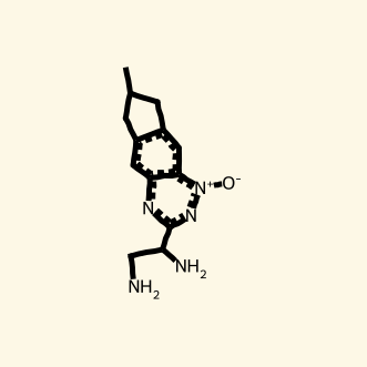 CC1Cc2cc3nc(C(N)CN)n[n+]([O-])c3cc2C1